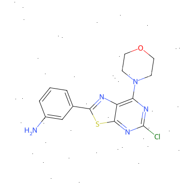 Nc1cccc(-c2nc3c(N4CCOCC4)nc(Cl)nc3s2)c1